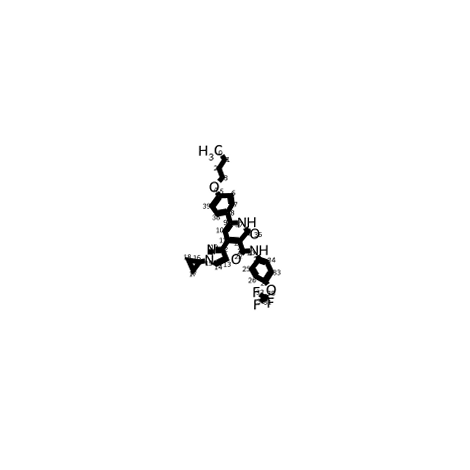 CCCCOc1ccc(-c2cc(-c3ccn(C4CC4)n3)c(C(=O)Nc3ccc(OC(F)(F)F)cc3)c(=O)[nH]2)cc1